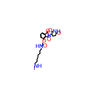 O=C(COc1cccc2c1C(=O)N(C1CCC(=O)NC1=O)C2=O)NCCCCCCCCNI